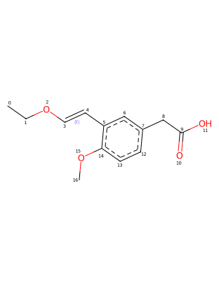 CCO/C=C/c1cc(CC(=O)O)ccc1OC